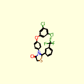 O=C1CSC(c2cccc(C(F)(F)F)c2)N1c1ccc(Oc2cc(Cl)cc(Cl)c2)cc1